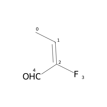 C/C=C(/F)C=O